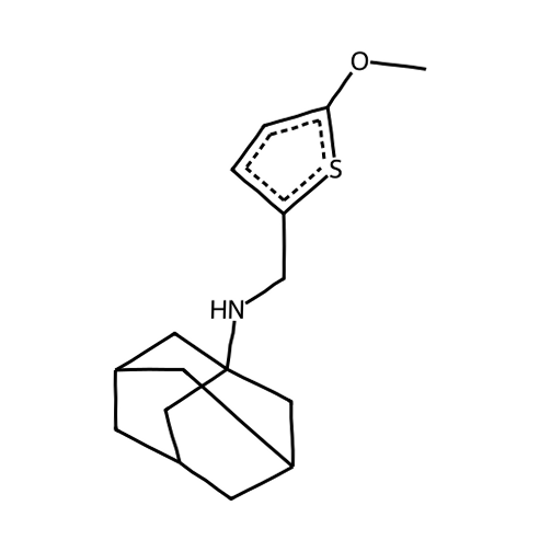 COc1ccc(CNC23CC4CC(CC(C4)C2)C3)s1